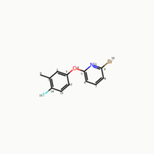 Cc1cc(Oc2cccc(Br)n2)ccc1F